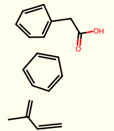 C=CC(=C)C.O=C(O)Cc1ccccc1.c1ccccc1